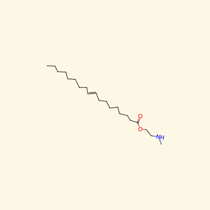 CCCCCCCCC=CCCCCCCCC(=O)OCCNC